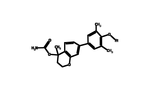 CCOc1c(C)cc(-c2ccc3c(c2)OCCC3(C)OC(N)=O)cc1C